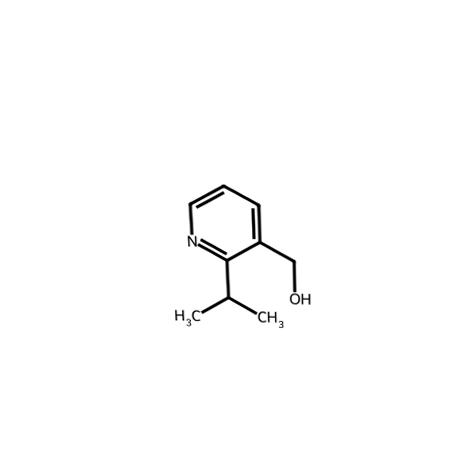 CC(C)c1ncccc1CO